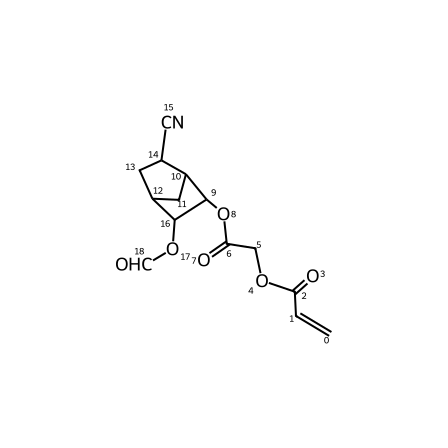 C=CC(=O)OCC(=O)OC1C2CC(CC2C#N)C1OC=O